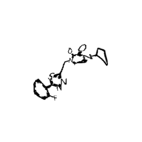 O=c1c(=O)n(C2CCC2)ccn1Cc1nnc(-c2ccccc2F)s1